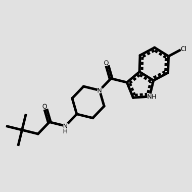 CC(C)(C)CC(=O)NC1CCN(C(=O)c2c[nH]c3cc(Cl)ccc23)CC1